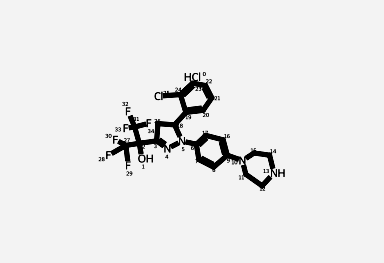 Cl.OC(C1=NN(c2ccc(N3CCNCC3)cc2)C(c2ccccc2Cl)C1)(C(F)(F)F)C(F)(F)F